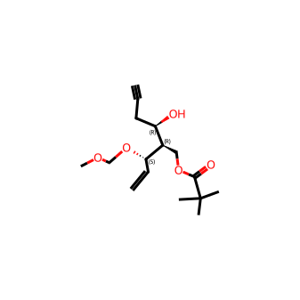 C#CC[C@@H](O)[C@@H](COC(=O)C(C)(C)C)[C@H](C=C)OCOC